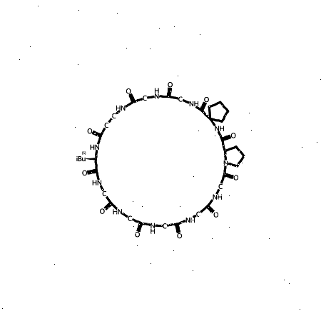 CC[C@H](C)C1NC(=O)CCNC(=O)CNC(=O)CNC(=O)C2(CCCC2)NC(=O)C2CCCN2C(=O)CNC(=O)CNC(=O)CNC(=O)CNC(=O)CNC1=O